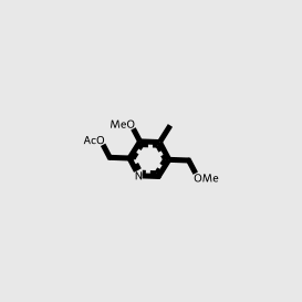 COCc1cnc(COC(C)=O)c(OC)c1C